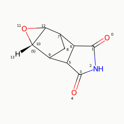 O=C1NC(=O)C2C1C1CC2[C@@H]2OC12